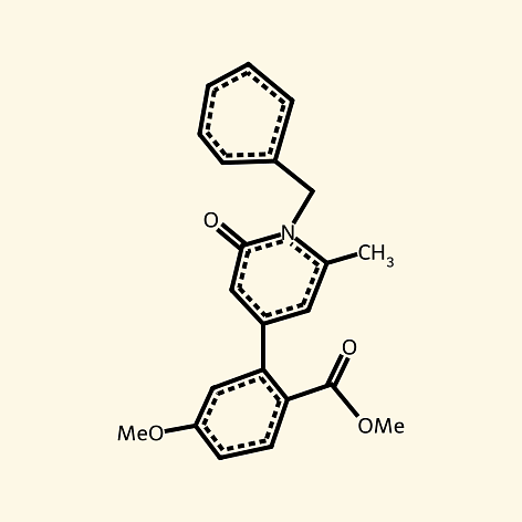 COC(=O)c1ccc(OC)cc1-c1cc(C)n(Cc2ccccc2)c(=O)c1